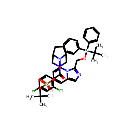 CC(C)(C)CS(=O)(=O)c1cc(N2C3CCC2CN(C(=O)c2ccc(F)cc2Cl)C3)n2c(CO[Si](c3ccccc3)(c3ccccc3)C(C)(C)C)ncc2c1